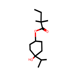 CCC(C)(C)C(=O)OC1CCC(O)(C(C)C)CC1